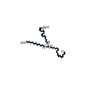 CC/C=C\C/C=C\C/C=C\C/C=C\C/C=C\CCCC(=O)O[C@H](COC(=O)CCC/C=C\C/C=C\C/C=C\C/C=C\CCCCC)COC(=O)CCCCCCCCCCCCCCCCCCCCC